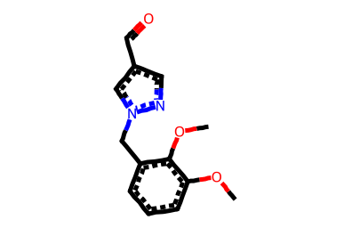 COc1cccc(Cn2cc(C=O)cn2)c1OC